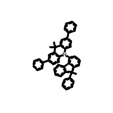 CC1(C)c2cc(-c3ccccc3)ccc2N(c2cccc3c2-c2ccccc2C3(C)c2ccccc2)c2ccc(-c3ccccc3)cc21